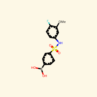 COc1cc(NS(=O)(=O)c2ccc(B(O)O)cc2)ccc1F